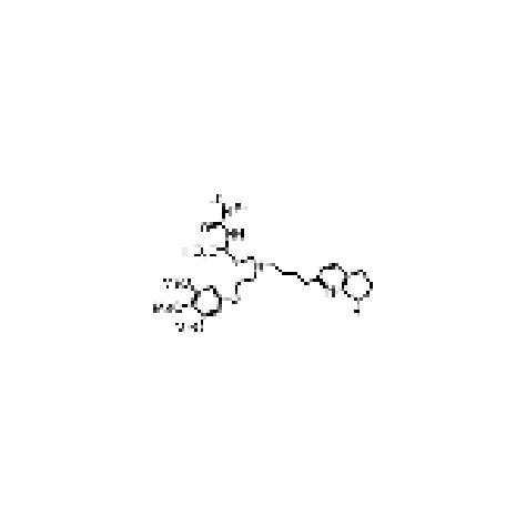 CCN(CC)C(=O)N[C@@H](CCN(CCCCc1ccc2c(n1)NCCC2)CCOc1cc(OC)c(OC)c(OC)c1)C(=O)O